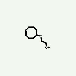 OCCOC1CC/C=C\CCC1